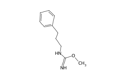 COC(=N)NCCCc1ccccc1